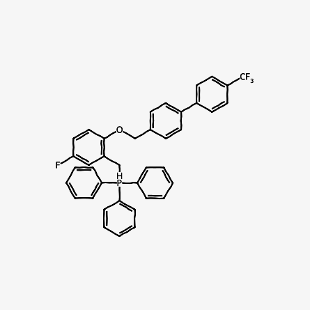 Fc1ccc(OCc2ccc(-c3ccc(C(F)(F)F)cc3)cc2)c(C[PH](c2ccccc2)(c2ccccc2)c2ccccc2)c1